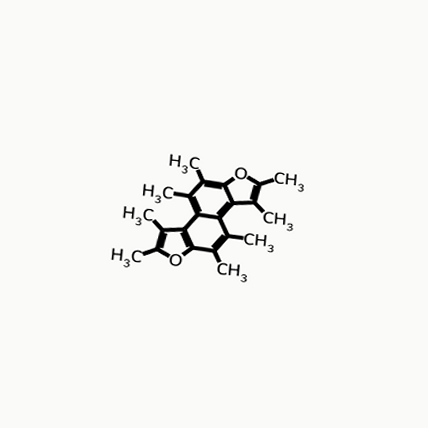 Cc1oc2c(C)c(C)c3c4c(C)c(C)oc4c(C)c(C)c3c2c1C